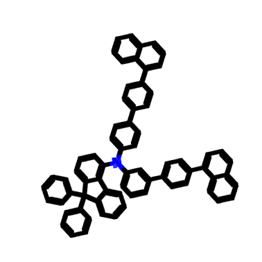 c1ccc(C2(c3ccccc3)c3ccccc3-c3c(N(c4ccc(-c5ccc(-c6cccc7ccccc67)cc5)cc4)c4cccc(-c5ccc(-c6cccc7ccccc67)cc5)c4)cccc32)cc1